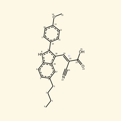 CCCCc1ccc2[nH]c(-c3ccc(OC)cc3)c(/C=C(\C#N)C(=O)O)c2c1